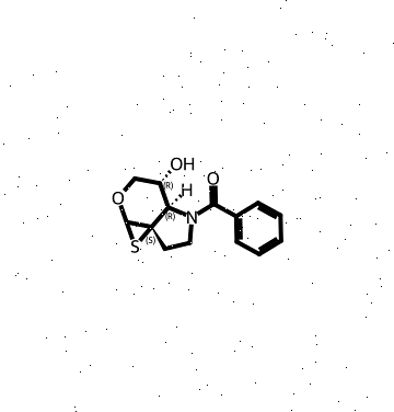 O=C(c1ccccc1)N1CC[C@@]23SC2OC[C@H](O)[C@@H]13